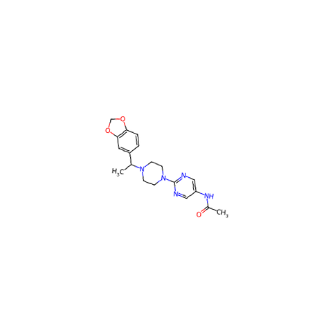 CC(=O)Nc1cnc(N2CCN(C(C)c3ccc4c(c3)OCO4)CC2)nc1